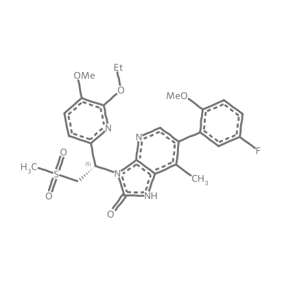 CCOc1nc([C@@H](CS(C)(=O)=O)n2c(=O)[nH]c3c(C)c(-c4cc(F)ccc4OC)cnc32)ccc1OC